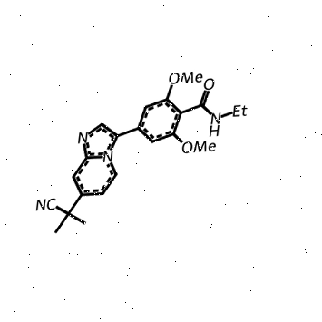 CCNC(=O)c1c(OC)cc(-c2cnc3cc(C(C)(C)C#N)ccn23)cc1OC